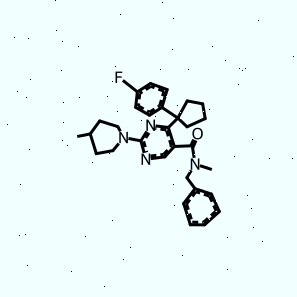 CC1CCN(c2ncc(C(=O)N(C)Cc3ccccc3)c(C3(c4ccc(F)cc4)CCCC3)n2)CC1